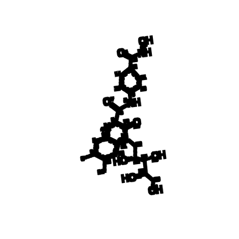 Cc1cc2nc(C(=O)Nc3ccc(C(=O)NO)cc3)c(=O)n(C[C@H](O)[C@H](O)[C@H](O)CO)c2cc1C